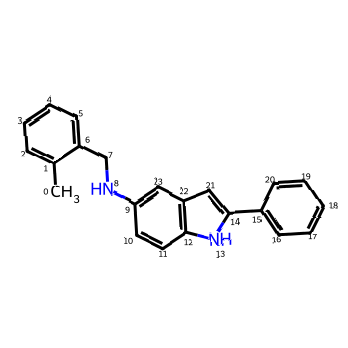 Cc1ccccc1CNc1ccc2[nH]c(-c3ccccc3)cc2c1